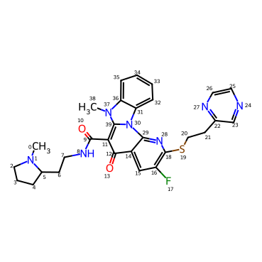 CN1CCCC1CCNC(=O)c1c(=O)c2cc(F)c(SCCc3cnccn3)nc2n2c3ccccc3n(C)c12